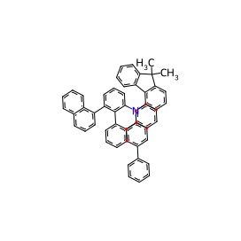 CC1(C)c2ccccc2-c2c(N(c3ccc(-c4ccccc4)cc3)c3cccc(-c4cccc5ccccc45)c3-c3ccccc3-c3ccccc3)cccc21